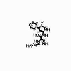 N=C/C(N/C=C\N=N)=C(/O)NC1=CC(N2CCOCC2)NCN1